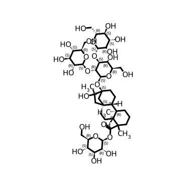 CC1(C(=O)O[C@@H]2O[C@H](CO)[C@@H](O)[C@H](O)[C@H]2O)CCC[C@@]2(C)[C@H]1CC[C@]13C[C@@](O[C@@H]4O[C@H](CO)[C@@H](O)[C@H](O[C@@H]5O[C@H](CO)[C@@H](O)[C@H](O)[C@H]5O)[C@H]4O[C@@H]4O[C@H](CO)[C@@H](O)[C@H](O)[C@H]4O)(CC[C@@H]12)[C@@](C)(O)C3